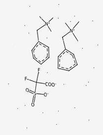 C[N+](C)(C)Cc1ccccc1.C[N+](C)(C)Cc1ccccc1.O=C([O-])C(F)(F)S(=O)(=O)[O-]